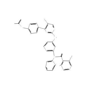 CC(=O)Nc1ccc(-c2nc(Nc3cccc(N(C(=O)c4c(Cl)cccc4Cl)c4ccccc4)c3)ncc2C)cc1